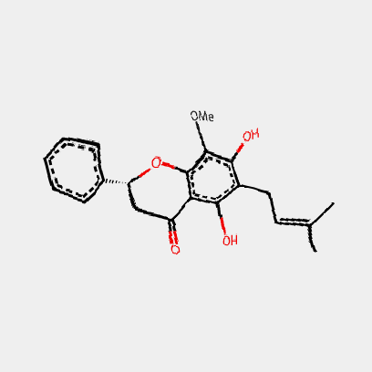 COc1c(O)c(CC=C(C)C)c(O)c2c1O[C@@H](c1ccccc1)CC2=O